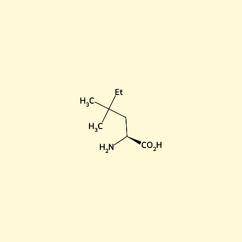 CCC(C)(C)C[C@H](N)C(=O)O